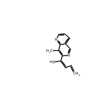 C=C/C=C(/S)c1ncc2cccnc2c1C